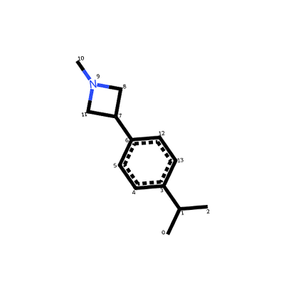 CC(C)c1ccc(C2CN(C)C2)cc1